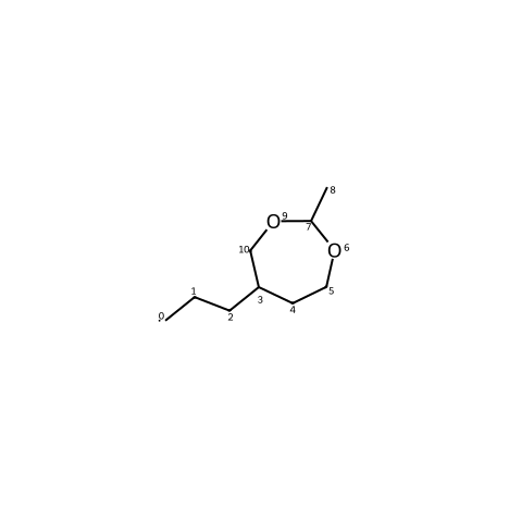 [CH2]CCC1CCOC(C)OC1